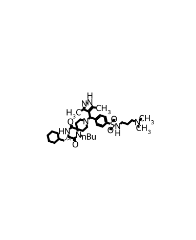 CCCCN1C(=O)[C@H](CC2CCCCC2)NC(=O)C12CCN(C(c1ccc(S(=O)(=O)NCCCN(C)C)cc1)c1c(C)n[nH]c1C)CC2